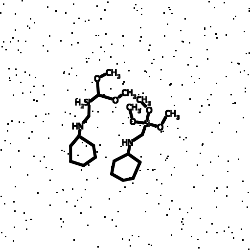 COC(OC)[SiH2]CNC1CCCCC1.CO[Si](CNC1CCCCC1)(OC)OC